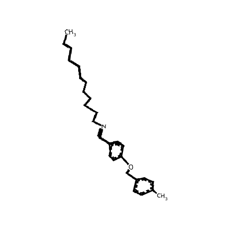 CCCCCCCCCCCCN=Cc1ccc(OCc2ccc(C)cc2)cc1